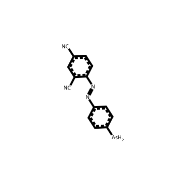 N#Cc1ccc(N=Nc2ccc([AsH2])cc2)c(C#N)c1